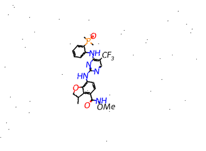 CONC(=O)c1ccc(Nc2ncc(C(F)(F)F)c(Nc3ccccc3P(C)(C)=O)n2)c2c1C(C)CO2